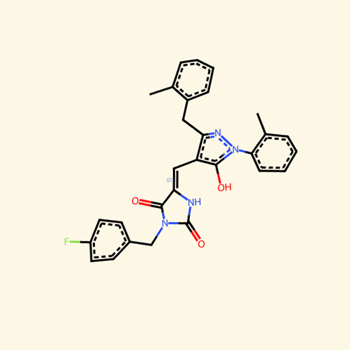 Cc1ccccc1Cc1nn(-c2ccccc2C)c(O)c1/C=C1\NC(=O)N(Cc2ccc(F)cc2)C1=O